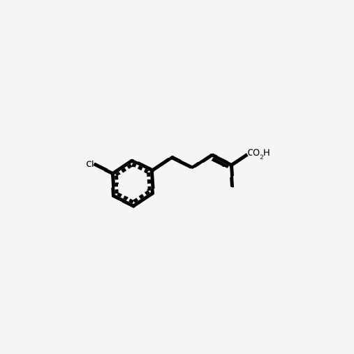 CC(=CCCc1cccc(Cl)c1)C(=O)O